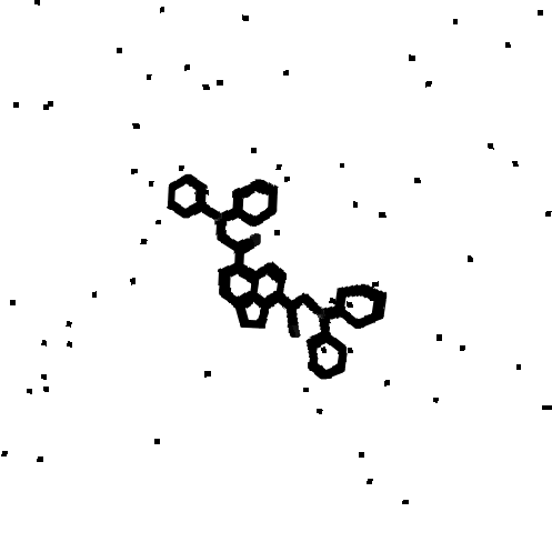 O=C(CN(C1CCCCC1)C1CCCCC1)c1ccc2c(C(=O)CN(C3CCCCC3)C3CCCCC3)ccc3c2c1CC3